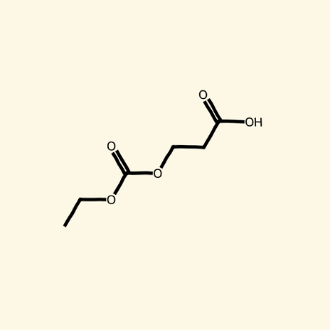 CCOC(=O)OCCC(=O)O